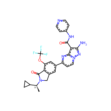 C[C@@H](C1CC1)N1Cc2cc(-c3ccn4nc(N)c(C(=O)Nc5ccncc5)c4n3)cc(OC(F)(F)F)c2C1=O